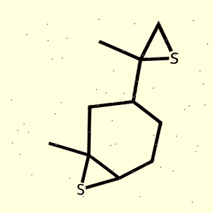 CC1(C2CCC3SC3(C)C2)CS1